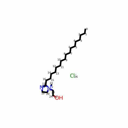 CCCCCCCCCCCCCCCCCC1=NCC[N+]1(C)CCO.[Cl-]